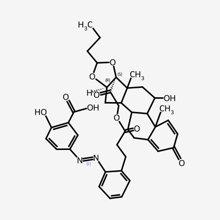 CCCC1O[C@@H]2CC3C4CCC5=CC(=O)C=CC5(C)C4C(O)CC3(C)[C@]2(C(=O)COC(=O)CCc2ccccc2/N=N/c2ccc(O)c(C(=O)O)c2)O1